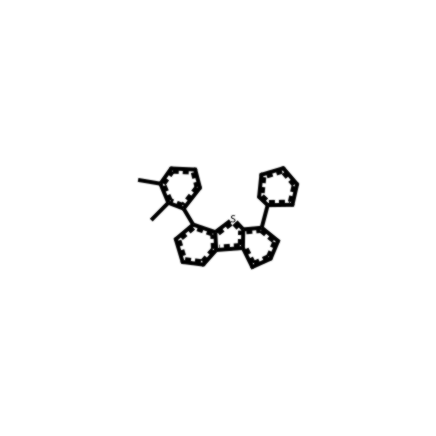 Cc1cccc(-c2cccc3c2sc2c(-c4ccccc4)cccc23)c1C